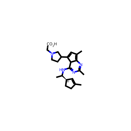 CC1=C[C@H](C(C)NC2=NC(C)=NC3=C(C)C=C(C4CCN(CC(=O)O)C4)C23)CC1